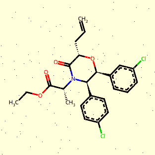 C=CC[C@@H]1O[C@@H](c2cccc(Cl)c2)[C@@H](c2ccc(Cl)cc2)N([C@H](C)C(=O)OCC)C1=O